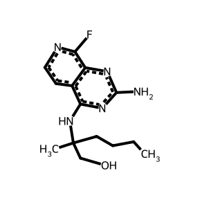 CCCCC(C)(CO)Nc1nc(N)nc2c(F)nccc12